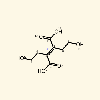 O=C(O)/C(CCO)=C(\CCO)C(=O)O